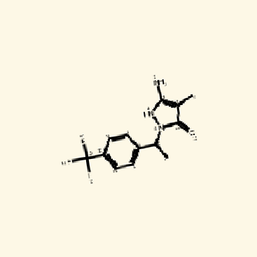 Cc1c(N)[nH]n(C(C)c2ccc(C(F)(F)F)cc2)c1=O